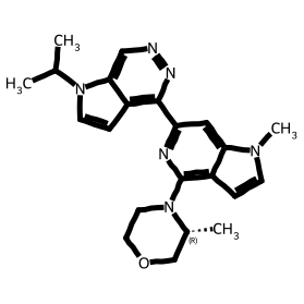 CC(C)n1ccc2c(-c3cc4c(ccn4C)c(N4CCOC[C@H]4C)n3)nncc21